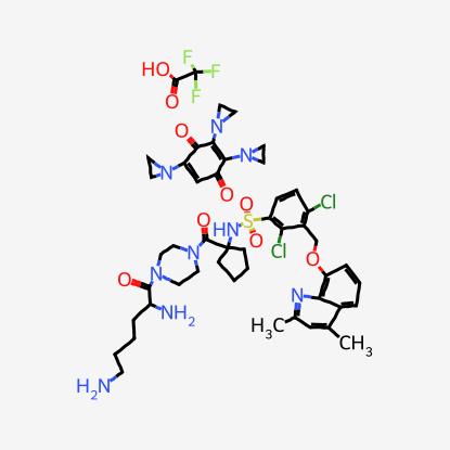 Cc1cc(C)c2cccc(OCc3c(Cl)ccc(S(=O)(=O)NC4(C(=O)N5CCN(C(=O)C(N)CCCCN)CC5)CCCC4)c3Cl)c2n1.O=C(O)C(F)(F)F.O=C1C=C(N2CC2)C(=O)C(N2CC2)=C1N1CC1